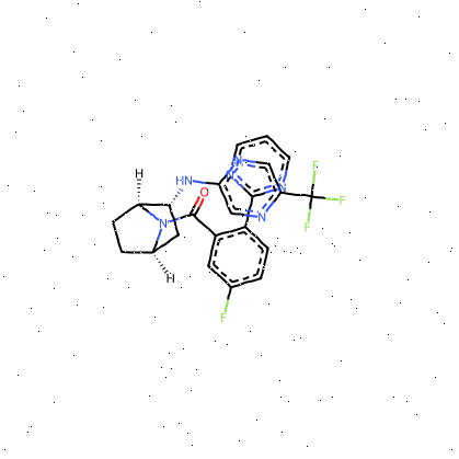 O=C(c1cc(F)ccc1-c1ncccn1)N1[C@@H]2CC[C@H]1[C@H](Nc1cnc(C(F)(F)F)cn1)C2